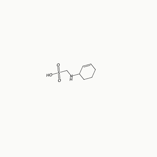 O=S(=O)(O)CNC1C=CCCC1